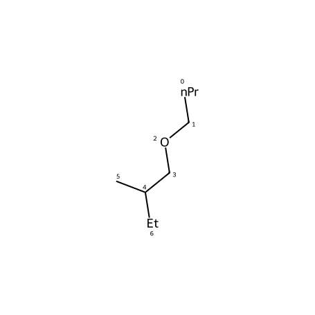 [CH2]CCCOCC(C)CC